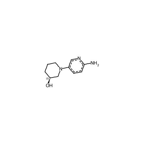 Nc1ccc(N2CCC[C@H](O)C2)cn1